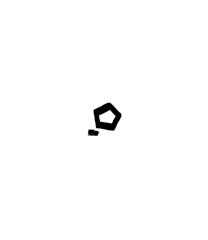 C1=CCC=C1.[Mn]